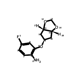 Nc1ccc(F)cc1O[C@H]1C[C@@H]2OCO[C@@H]2C1